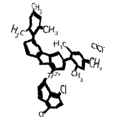 Cc1cc(C)c(-c2ccc3c(c2)-c2cc(-c4c(C)cc(C)cc4C)c[c]([Ti+2][CH]4C=Cc5c(Cl)ccc(Cl)c54)c2C3)c(C)c1.[Cl-].[Cl-]